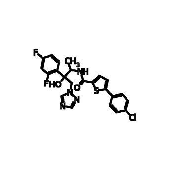 CC(NC(=O)c1ccc(-c2ccc(Cl)cc2)s1)C(O)(Cn1cncn1)c1ccc(F)cc1F